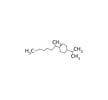 CCCCCC[C](C)C1CCC(C(C)C)CC1